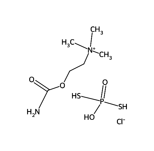 C[N+](C)(C)CCOC(N)=O.O=P(O)(S)S.[Cl-]